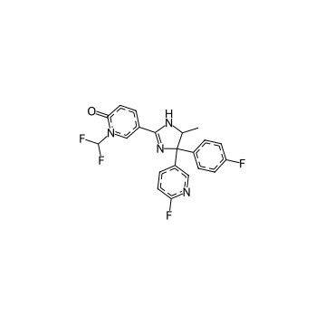 CC1NC(c2ccc(=O)n(C(F)F)c2)=NC1(c1ccc(F)cc1)c1ccc(F)nc1